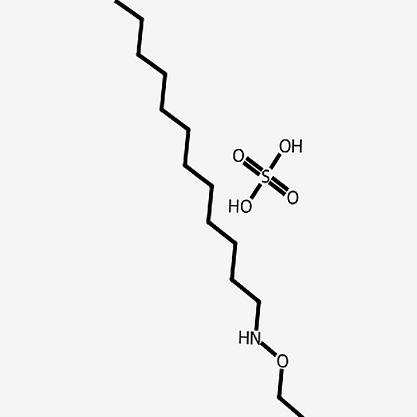 CCCCCCCCCCCCNOCC.O=S(=O)(O)O